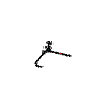 CCCCC/C=C\C/C=C\CCCCCCCCCCCC(=O)OC[C@H](COP(=O)(O)OC[C@@H](O)CO)OC(=O)CCCCCCCCCCCCCCCCCCCC